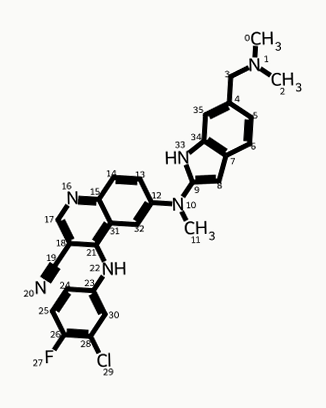 CN(C)Cc1ccc2cc(N(C)c3ccc4ncc(C#N)c(Nc5ccc(F)c(Cl)c5)c4c3)[nH]c2c1